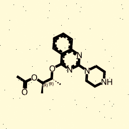 CC(=O)O[C@H](C)[C@@H](C)Oc1nc(N2CCNCC2)nc2ccccc12